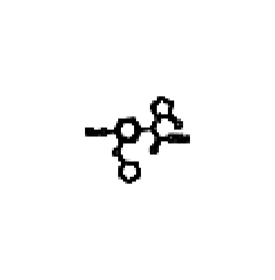 COC(=O)C(c1ccc(OC)c(OC2CCCC2)c1)N1CCCC1=O